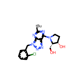 CC(C)(C)c1nc(N2CC[C@H](O)[C@@H]2CO)c2nnn(Cc3ccccc3Cl)c2n1